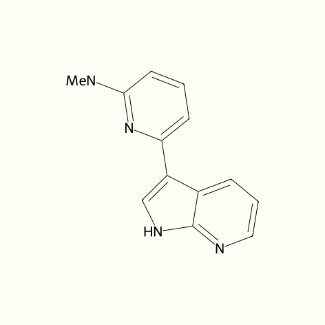 CNc1cccc(-c2c[nH]c3ncccc23)n1